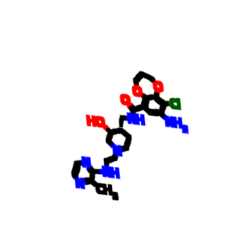 Cc1nccnc1NCCN1CC[C@@H](CNC(=O)c2cc(N)c(Cl)c3c2OCCCO3)[C@H](O)C1